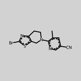 Cc1cc(C#N)cnc1N1CCc2nc(Br)sc2C1